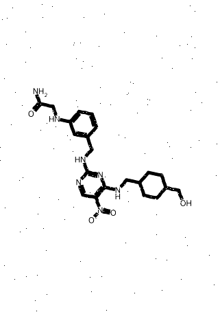 NC(=O)CNc1cccc(CNc2ncc([N+](=O)[O-])c(NCC3CCC(CO)CC3)n2)c1